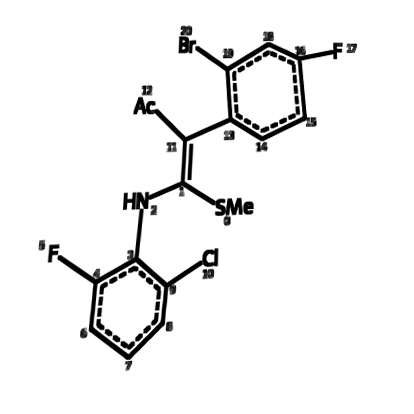 CS/C(Nc1c(F)cccc1Cl)=C(/C(C)=O)c1ccc(F)cc1Br